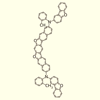 Cc1ccccc1N(c1ccc2cc3c(cc2c1)oc1cc2oc4cc5cc(N(c6ccc7oc8ccccc8c7c6)c6ccccc6C)ccc5cc4c2cc13)c1ccc2oc3ccccc3c2c1